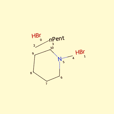 Br.Br.CCCCCC.CN1CCCCC1